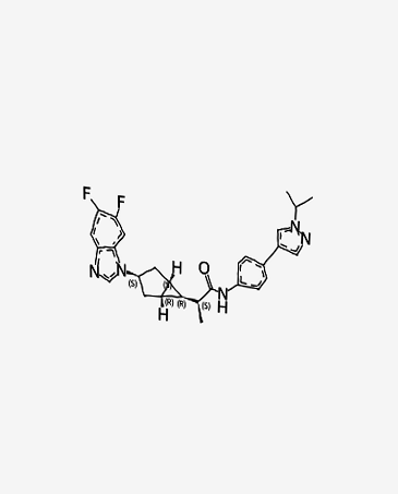 CC(C)n1cc(-c2ccc(NC(=O)[C@@H](C)[C@H]3[C@@H]4C[C@@H](n5cnc6cc(F)c(F)cc65)C[C@@H]43)cc2)cn1